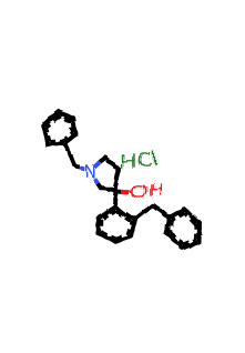 Cl.OC1(c2ccccc2Cc2ccccc2)CCN(Cc2ccccc2)C1